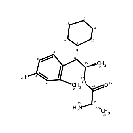 Cc1cc(F)ccc1[C@H](C1CCCCC1)[C@@H](C)OC(=O)[C@H](C)N